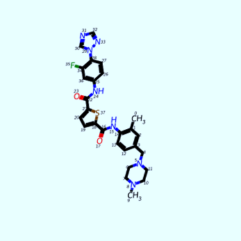 Cc1cc(CN2CCN(C)CC2)ccc1NC(=O)c1ccc(C(=O)Nc2ccc(-n3cncn3)c(F)c2)s1